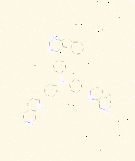 c1ccc2c(c1)sc1ncnc(-c3ccc(N(c4ccc(-c5ccc6ccncc6n5)cc4)c4ccc(-c5ccc6ccncc6n5)cc4)cc3)c12